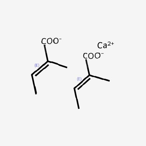 C/C=C(\C)C(=O)[O-].C/C=C(\C)C(=O)[O-].[Ca+2]